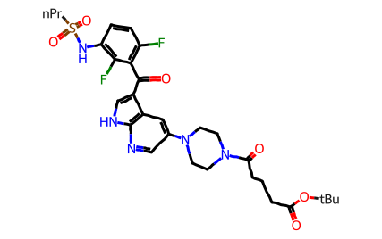 CCCS(=O)(=O)Nc1ccc(F)c(C(=O)c2c[nH]c3ncc(N4CCN(C(=O)CCCC(=O)OC(C)(C)C)CC4)cc23)c1F